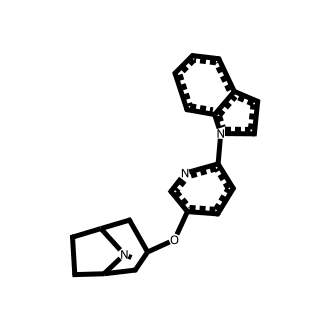 CN1C2CCC1CC(Oc1ccc(-n3ccc4ccccc43)nc1)C2